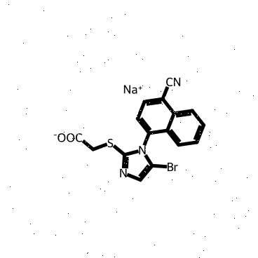 N#Cc1ccc(-n2c(Br)cnc2SCC(=O)[O-])c2ccccc12.[Na+]